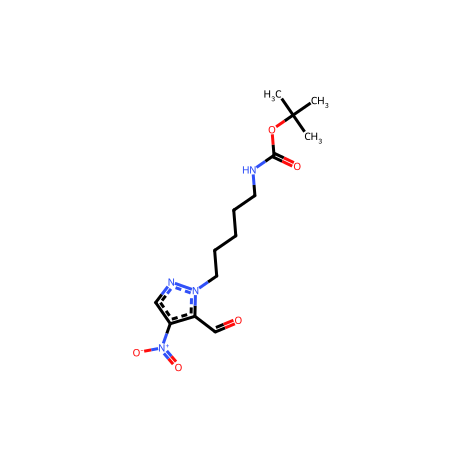 CC(C)(C)OC(=O)NCCCCCn1ncc([N+](=O)[O-])c1C=O